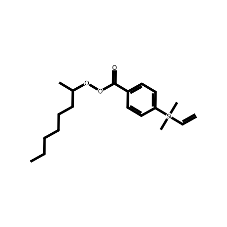 C=C[Si](C)(C)c1ccc(C(=O)OO[C](C)CCCCCC)cc1